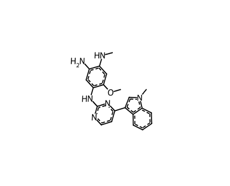 CNc1cc(OC)c(Nc2nccc(-c3cn(C)c4ccccc34)n2)cc1N